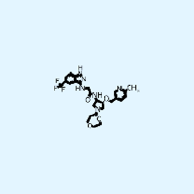 Cc1ccc(CO[C@H]2CN(C3CCCOCC3)CC2NC(=O)CNc2n[nH]c3ccc(C(F)(F)F)cc23)cn1